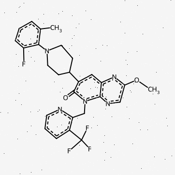 COc1cnc2c(cc(C3CCN(c4c(C)cccc4F)CC3)c(=O)n2Cc2ncccc2C(F)(F)F)n1